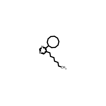 CCCCCCCc1cncnc1C1CCCCCCCCC1